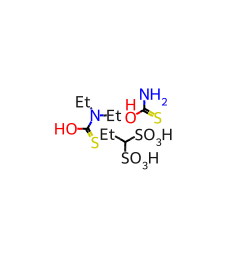 CCC(S(=O)(=O)O)S(=O)(=O)O.CCN(CC)C(O)=S.NC(O)=S